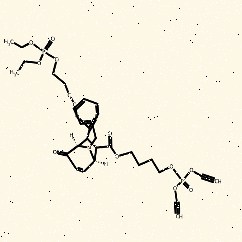 C#COP(=O)(OC#C)OCCCCOC(=O)C1C(C(=O)OCCCCOP(=O)(OCC)OCC)[C@@H]2C(=O)C=C[C@H]1N2Cc1ccccc1